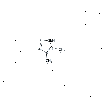 CC1=[C](C)[SbH][CH]=[C]1